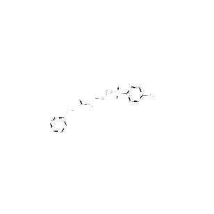 Nc1ccc(S(=O)(=O)NCCNC(=O)OCc2ccccc2)cc1